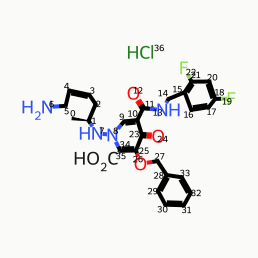 C[C@@H](C/C=C\CN)Nn1cc(C(=O)NCc2ccc(F)cc2F)c(=O)c(OCc2ccccc2)c1C(=O)O.Cl